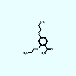 CCCOc1ccc(C(N)=O)c(OCCC)c1